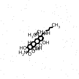 CCCCCNCc1cc(O)c2c(c1N(C)C)CC1C[C@H]3CC(O)=C(C(N)=O)C(=O)[C@@]3(O)C(O)=C1C2=O